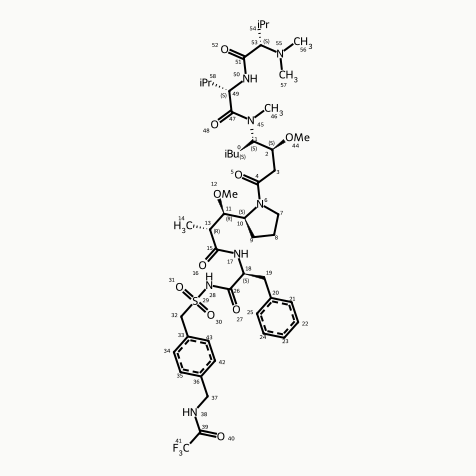 CC[C@H](C)[C@@H]([C@H](CC(=O)N1CCC[C@H]1[C@H](OC)[C@@H](C)C(=O)N[C@@H](Cc1ccccc1)C(=O)NS(=O)(=O)Cc1ccc(CNC(=O)C(F)(F)F)cc1)OC)N(C)C(=O)[C@@H](NC(=O)[C@H](C(C)C)N(C)C)C(C)C